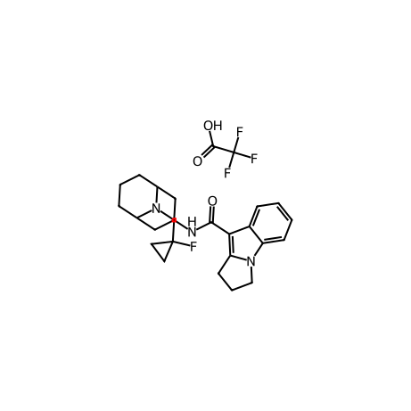 O=C(NC1CC2CCCC(C1)N2CC1(F)CC1)c1c2n(c3ccccc13)CCC2.O=C(O)C(F)(F)F